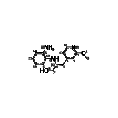 COc1cc(C[C@@H](CO)Nc2ccccc2N)ccn1